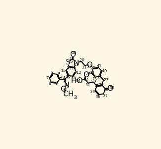 CON=C(c1ccccc1)c1ccc2c(c1)sc(=O)n2CCOc1ccc(CC2=C(CCC(=O)O)C=CCC2=O)cc1